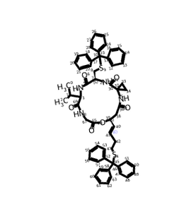 CC(C)C1NC(=O)[C@@H](CSC(c2ccccc2)(c2ccccc2)c2ccccc2)NC(=O)C2(CC2)NC(=O)C[C@@H](/C=C/CCSC(c2ccccc2)(c2ccccc2)c2ccccc2)OC(=O)CNC1=O